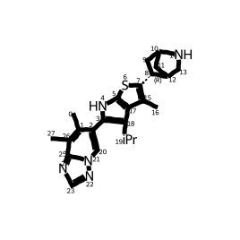 Cc1c(-c2[nH]c3sc([C@@H]4CC5CC4CN5)c(C)c3c2C(C)C)cn2ncnc2c1C